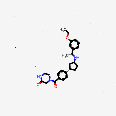 CCOc1cccc([C@@H](C)NC2CC[C@H](c3ccc(C(=O)N4CCNC(=O)C4)cc3)C2)c1